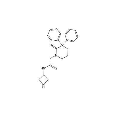 O=C(CN1CCCC(c2ccccc2)(c2ccccc2)C1=O)NC1CNC1